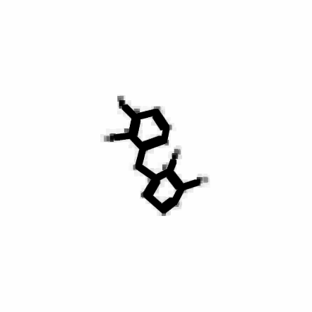 Fc1cccc(Cc2cccc(F)c2F)c1F